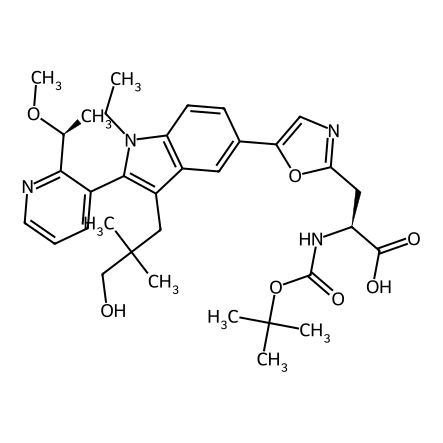 CCn1c(-c2cccnc2[C@H](C)OC)c(CC(C)(C)CO)c2cc(-c3cnc(C[C@H](NC(=O)OC(C)(C)C)C(=O)O)o3)ccc21